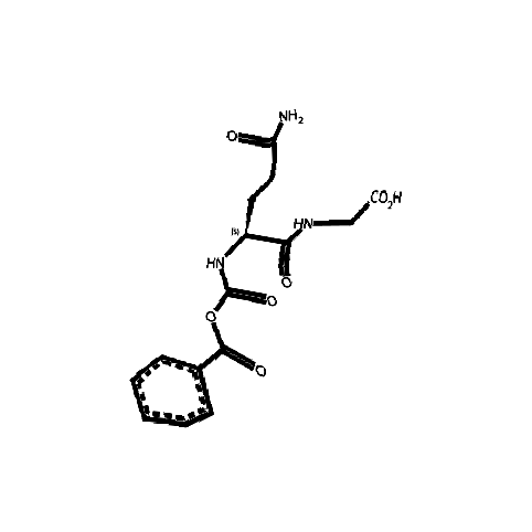 NC(=O)CC[C@H](NC(=O)OC(=O)c1ccccc1)C(=O)NCC(=O)O